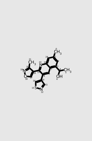 Cc1cc(C(C)O)c2cc(-c3cnsc3)c(-c3conc3C)nc2c1